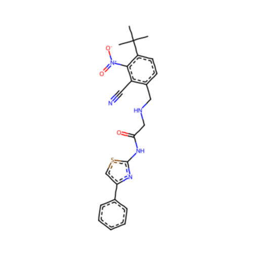 CC(C)(C)c1ccc(CNCC(=O)Nc2nc(-c3ccccc3)cs2)c(C#N)c1[N+](=O)[O-]